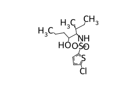 CCCC(O)[C@H](NS(=O)(=O)c1ccc(Cl)s1)[C@@H](C)CC